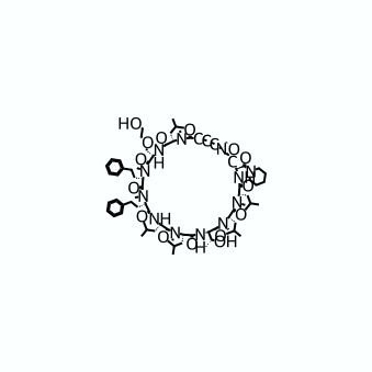 CC(C)C[C@@H]1NC(=O)[C@H](CCc2ccccc2)N(C)C(=O)[C@H](CCc2ccccc2)N(C)C(=O)[C@H](COCCO)NC(=O)[C@H](CC(C)C)N(C)C(=O)CCCN(C)C(=O)C[C@@H](C(=O)N2CCCCC2)NC(=O)[C@H](CC(C)C)N(C)C(=O)[C@H](CC(C)C)N(C)C(=O)[C@H]([C@@H](C)O)NC(=O)[C@H](CC(C)C)N(C)C1=O